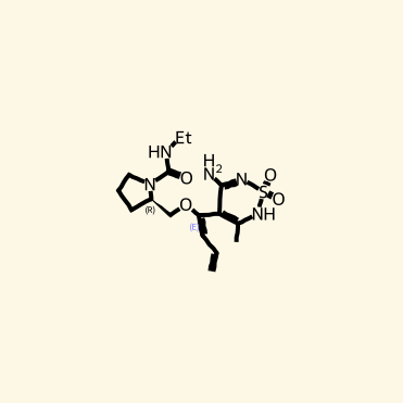 C=C/C=C(/OC[C@H]1CCCN1C(=O)NCC)C1=C(C)NS(=O)(=O)N=C1N